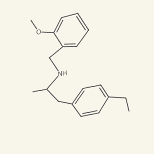 CCc1ccc(CC(C)NCc2ccccc2OC)cc1